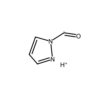 O=[C]n1cccn1.[H+]